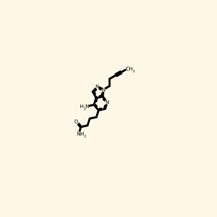 CC#CCCn1ncc2c(N)c(CCCC(N)=O)cnc21